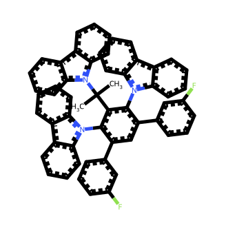 CC(C)(c1c(-n2c3ccccc3c3ccccc32)c(-c2cccc(F)c2)cc(-c2cccc(F)c2)c1-n1c2ccccc2c2ccccc21)n1c2ccccc2c2ccccc21